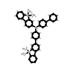 C[Si]1(C)c2ccccc2-c2ccc(-c3ccc(N(c4ccc(-c5ccccc5)cc4)c4ccc5c(c4)[Si](C)(C)c4ccccc4-5)cc3)cc21